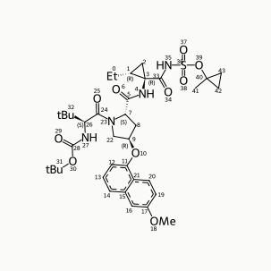 CC[C@@H]1C[C@]1(NC(=O)[C@@H]1C[C@@H](Oc2cccc3cc(OC)ccc23)CN1C(=O)[C@@H](NC(=O)OC(C)(C)C)C(C)(C)C)C(=O)NS(=O)(=O)OC1(C)CC1